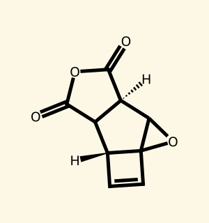 O=C1OC(=O)[C@@H]2C1[C@H]1C=CC13OC23